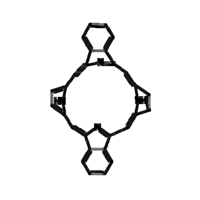 c1ccc2c(c1)-c1cc3ccc(cc4nc(cc5ccc(cc-2n1)[nH]5)-c1ccccc1-4)[nH]3